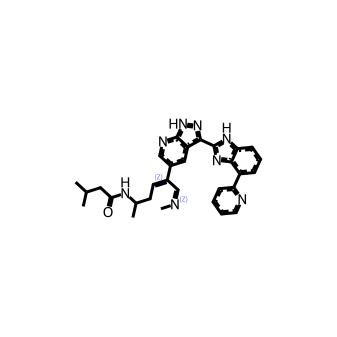 C/N=C\C(=C/CC(C)NC(=O)CC(C)C)c1cnc2[nH]nc(-c3nc4c(-c5ccccn5)cccc4[nH]3)c2c1